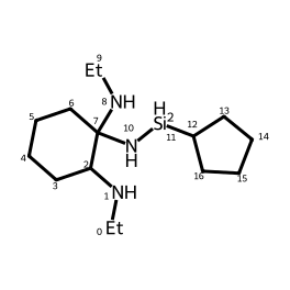 CCNC1CCCCC1(NCC)N[SiH2]C1CCCC1